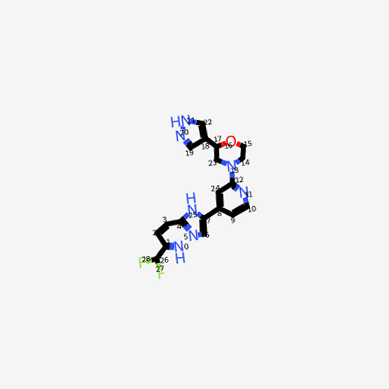 N=C(/C=C\c1ncc(-c2ccnc(N3CCOC(c4cn[nH]c4)C3)c2)[nH]1)C(F)F